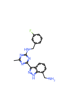 Cc1nc(NCc2cccc(F)c2)nc(-c2n[nH]c3c(CN)cccc23)n1